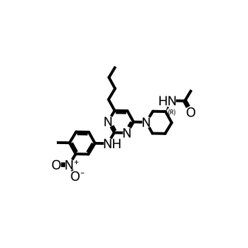 CCCCc1cc(N2CCC[C@@H](NC(C)=O)C2)nc(Nc2ccc(C)c([N+](=O)[O-])c2)n1